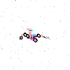 CCCCOc1ccc(C(F)(F)C(NS(=O)(=O)c2ccc3cc(OC4CCCC4)ccc3c2)C(=O)N2C3CCC2CC(N)C3)cc1.O=C(O)C(F)(F)F